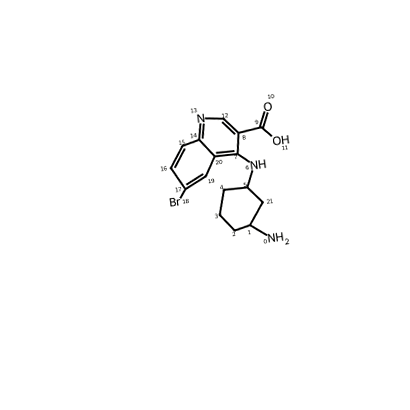 NC1CCCC(Nc2c(C(=O)O)cnc3ccc(Br)cc23)C1